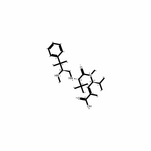 CN[C@H](CN[C@H](C(=O)N(C)[C@H](C=C(C)C(=O)O)C(C)C)C(C)(C)C)C(C)(C)c1ccccc1